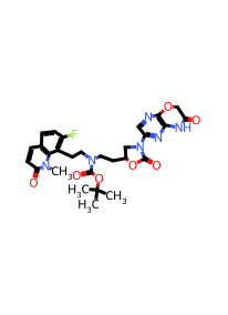 Cn1c(=O)ccc2ccc(F)c(CCN(CCC3CN(c4cnc5c(n4)NC(=O)CO5)C(=O)O3)C(=O)OC(C)(C)C)c21